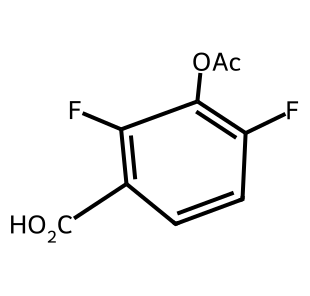 CC(=O)Oc1c(F)ccc(C(=O)O)c1F